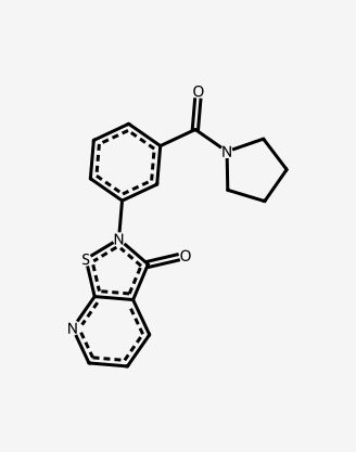 O=C(c1cccc(-n2sc3ncccc3c2=O)c1)N1CCCC1